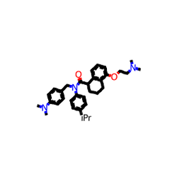 CC(C)c1ccc(N(Cc2ccc(N(C)C)cc2)C(=O)C2CCCc3c(OCCN(C)C)cccc32)cc1